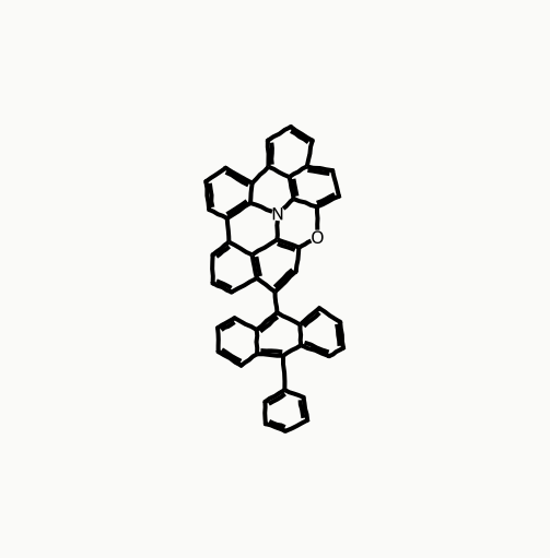 c1ccc(-c2c3ccccc3c(-c3cc4oc5ccc6cccc7c8cccc9c%10cccc3c%10c4n(c89)c5c67)c3ccccc23)cc1